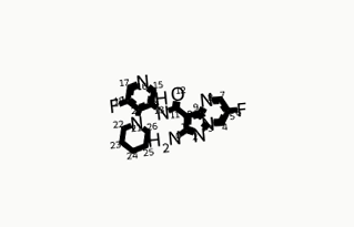 Nc1nn2cc(F)cnc2c1C(=O)Nc1cncc(F)c1N1CCCCC1